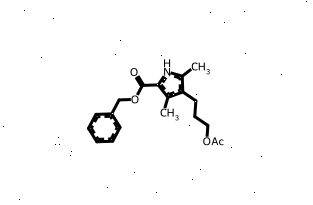 CC(=O)OCCCc1c(C)[nH]c(C(=O)OCc2ccccc2)c1C